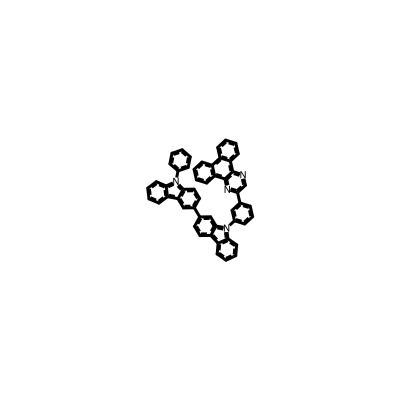 c1ccc(-n2c3ccccc3c3cc(-c4ccc5c6ccccc6n(-c6cccc(-c7cnc8c9ccccc9c9ccccc9c8n7)c6)c5c4)ccc32)cc1